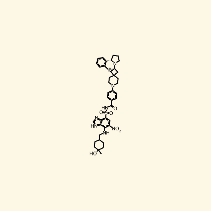 CC(C)c1ccccc1[C@@H]1CCCN1C1CC2(CCN(c3ccc(C(=O)NS(=O)(=O)c4cc([N+](=O)[O-])c(NCC5CCC(C)(O)CC5)c5[nH]cnc45)cc3)CC2)C1